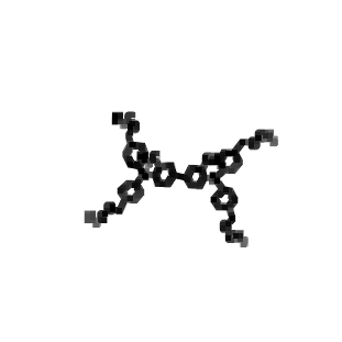 COCc1ccc(N(c2ccc(COC)cc2)c2ccc(-c3ccc(N(c4ccc(COC)cc4)c4ccc(COC)cc4)c(C)c3)cc2C)cc1